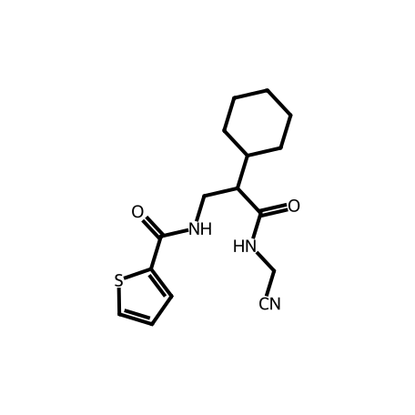 N#CCNC(=O)C(CNC(=O)c1cccs1)C1CCCCC1